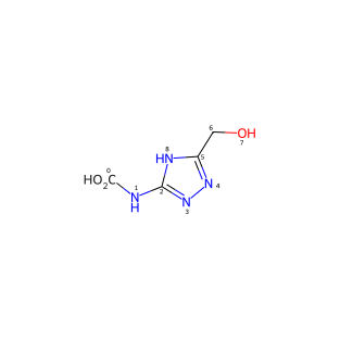 O=C(O)Nc1nnc(CO)[nH]1